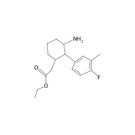 CCOC(=O)CC1CCCC(N)C1c1ccc(F)c(C)c1